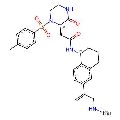 C=C(CNC(C)(C)C)c1ccc2c(c1)CCC[C@H]2NC(=O)C[C@@H]1C(=O)NCCN1S(=O)(=O)c1ccc(C)cc1